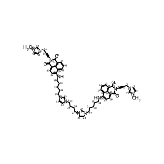 Cn1cc[n+](CC#CN2C(=O)c3cccc4c(NCCCCCn5cc[n+](CCCC[n+]6ccn(CCCCCNc7ccc8c9c(cccc79)C(=O)N(C#CC[n+]7ccn(C)c7)C8=O)c6)c5)ccc(c34)C2=O)c1